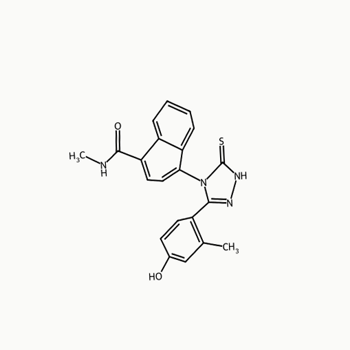 CNC(=O)c1ccc(-n2c(-c3ccc(O)cc3C)n[nH]c2=S)c2ccccc12